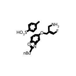 CCCCc1nc2cc(OCC(=CF)CN)ccc2o1.Cc1ccc(S(=O)(=O)O)cc1